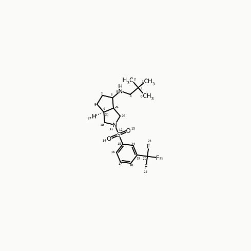 CC(C)(C)CNC1CC[C@@H]2CN(S(=O)(=O)c3cccc(C(F)(F)F)c3)CC12